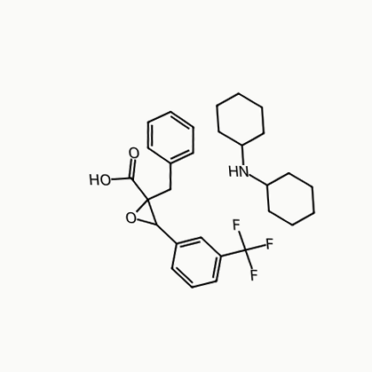 C1CCC(NC2CCCCC2)CC1.O=C(O)C1(Cc2ccccc2)OC1c1cccc(C(F)(F)F)c1